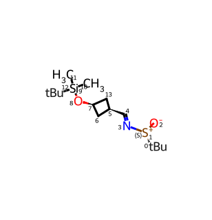 CC(C)(C)[S@@+]([O-])N=C[C@H]1C[C@@H](O[Si](C)(C)C(C)(C)C)C1